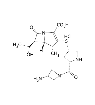 CC(O)[C@H]1C(=O)N2C(C(=O)O)=C(S[C@@H]3CN[C@H](C(=O)N4CC(N)C4)C3)[C@H](C)[C@H]12.Cl